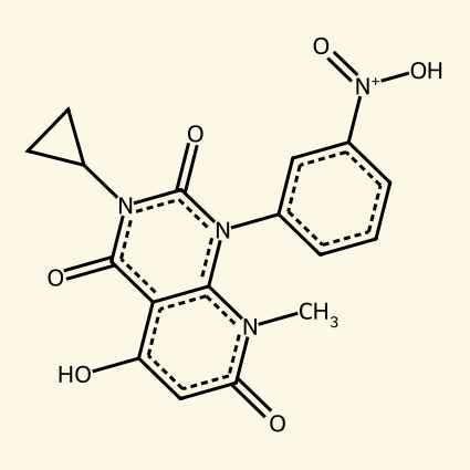 Cn1c(=O)cc(O)c2c(=O)n(C3CC3)c(=O)n(-c3cccc([N+](=O)O)c3)c21